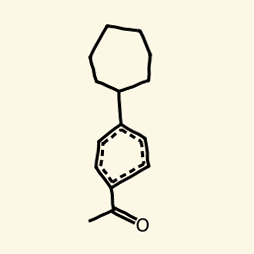 CC(=O)c1ccc(C2CCCCCC2)cc1